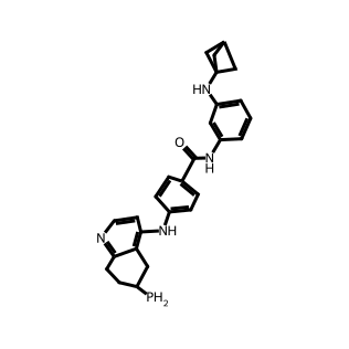 O=C(Nc1cccc(NC23CC(C2)C3)c1)c1ccc(Nc2ccnc3c2CC(P)CC3)cc1